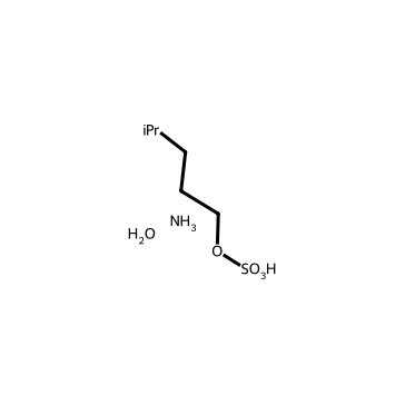 CC(C)CCCOS(=O)(=O)O.N.O